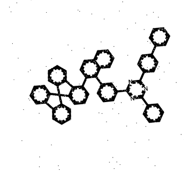 c1ccc(-c2ccc(-c3nc(-c4ccccc4)nc(-c4cccc(-c5c(-c6cccc7c6-c6ccccc6C76c7ccccc7-c7ccccc76)ccc6ccccc56)c4)n3)cc2)cc1